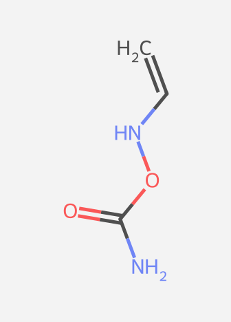 C=CNOC(N)=O